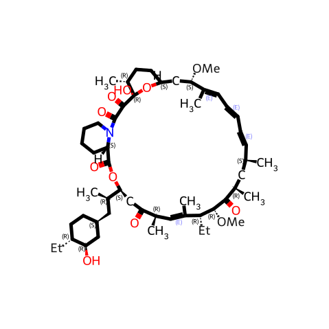 CC[C@@H]1CC[C@@H](C[C@@H](C)[C@@H]2CC(=O)[C@H](C)/C=C(\C)[C@@H](CC)[C@@H](OC)C(=O)[C@H](C)C[C@H](C)/C=C/C=C/C=C(\C)[C@@H](OC)C[C@@H]3CC[C@@H](C)[C@@](O)(O3)C(=O)C(=O)N3CCCC[C@H]3C(=O)O2)C[C@H]1O